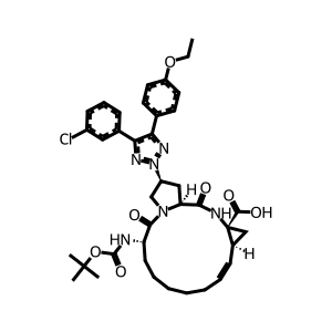 CCOc1ccc(-c2nn([C@H]3C[C@H]4C(=O)N[C@]5(C(=O)O)C[C@H]5/C=C\CCCCC[C@H](NC(=O)OC(C)(C)C)C(=O)N4C3)nc2-c2cccc(Cl)c2)cc1